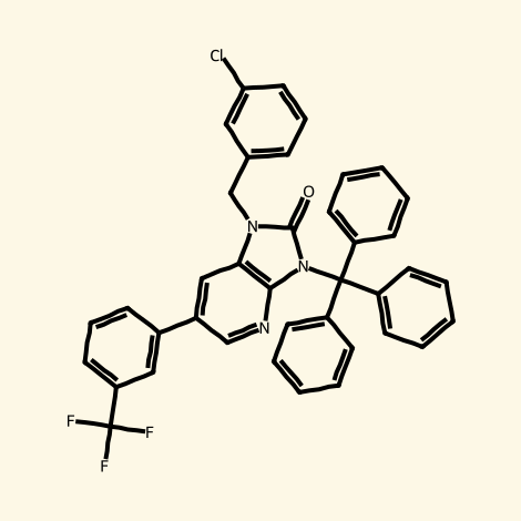 O=c1n(Cc2cccc(Cl)c2)c2cc(-c3cccc(C(F)(F)F)c3)cnc2n1C(c1ccccc1)(c1ccccc1)c1ccccc1